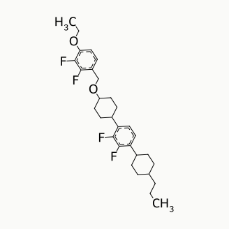 CCCC1CCC(c2ccc(C3CCC(OCc4ccc(OCC)c(F)c4F)CC3)c(F)c2F)CC1